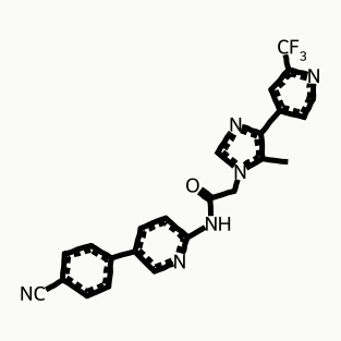 Cc1c(-c2ccnc(C(F)(F)F)c2)ncn1CC(=O)Nc1ccc(-c2ccc(C#N)cc2)cn1